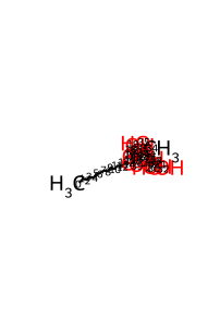 CCCCCCCCCCCCCCO[C@@H]1OC(CO)[C@@H](O[C@@H](OCC(CO)C[C@@H](O)CO)[C@H](C)O)C(O)[C@@H]1O